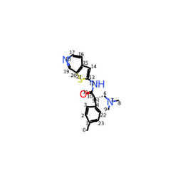 Cc1ccc([C@@H](CN(C)C)C(=O)Nc2cc3ccncc3s2)cc1